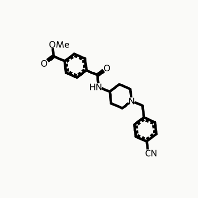 COC(=O)c1ccc(C(=O)NC2CCN(Cc3ccc(C#N)cc3)CC2)cc1